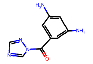 Nc1cc(N)cc(C(=O)n2cncn2)c1